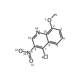 COc1cccc2c(Cl)c([N+](=O)[O-])cnc12